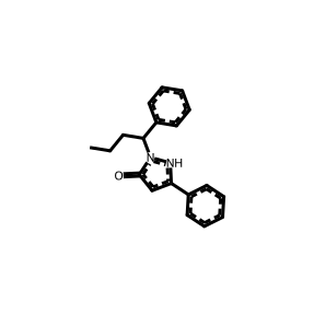 CCCC(c1ccccc1)n1[nH]c(-c2ccccc2)cc1=O